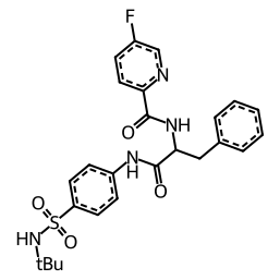 CC(C)(C)NS(=O)(=O)c1ccc(NC(=O)C(Cc2ccccc2)NC(=O)c2ccc(F)cn2)cc1